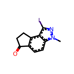 Cn1nc(I)c2c3c(ccc21)C(=O)CC3